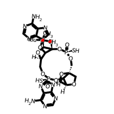 CC(C)(C)[Si](C)(C)OC1[C@H]2O[P@@](=O)(S)OC[C@@]34CO[C@@H]([C@H](n5cnc6c(N)ncnc65)O3)[C@@H]4O[P@@](=O)(S)OC[C@H]1O[C@H]2n1cnc2c(N)ncnc21